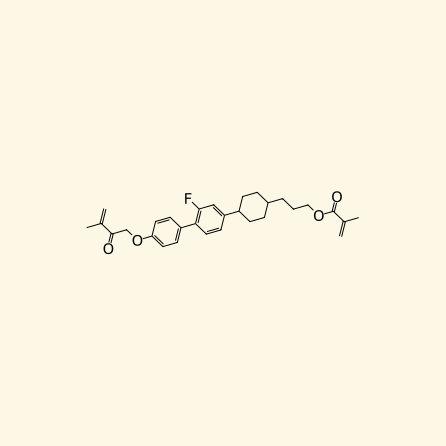 C=C(C)C(=O)COc1ccc(-c2ccc(C3CCC(CCCOC(=O)C(=C)C)CC3)cc2F)cc1